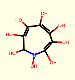 OC1=C(O)C(O)=C(O)N(O)C(O)C(O)=C1O